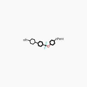 CCCCCc1ccc(OC(F)(F)c2ccc(C3CCC(CCC)CC3)cc2)cc1